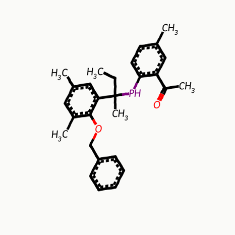 CCC(C)(Pc1ccc(C)cc1C(C)=O)c1cc(C)cc(C)c1OCc1ccccc1